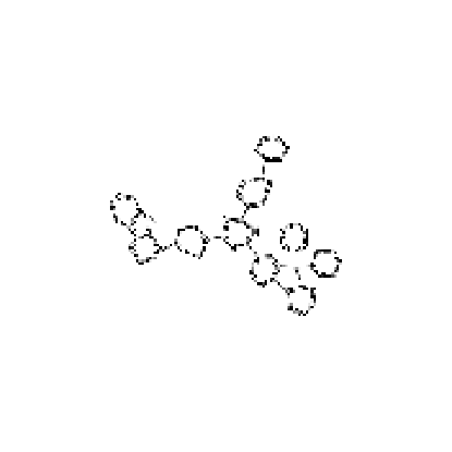 c1ccc(-c2ccc(-c3nc(-c4ccc(-c5cccc6c5sc5ccccc56)cc4)nc(-c4ccc5c(c4)C(c4ccccc4)(c4ccccc4)c4ccccc4-5)n3)cc2)cc1